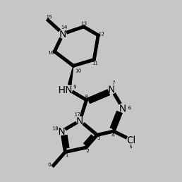 Cc1cc2c(Cl)nnc(N[C@@H]3CCCN(C)C3)n2n1